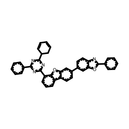 C1=CCC(c2nc(-c3ccccc3)nc(-c3cccc4c3oc3cc(-c5ccc6nc(-c7ccccc7)oc6c5)ccc34)n2)C=C1